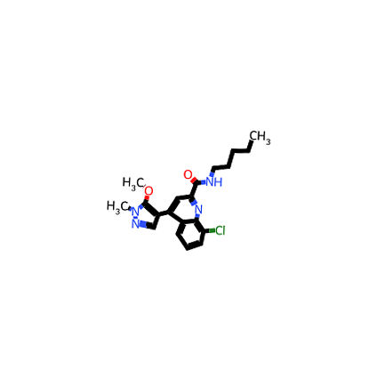 CCCCCNC(=O)c1cc(-c2cnn(C)c2OC)c2cccc(Cl)c2n1